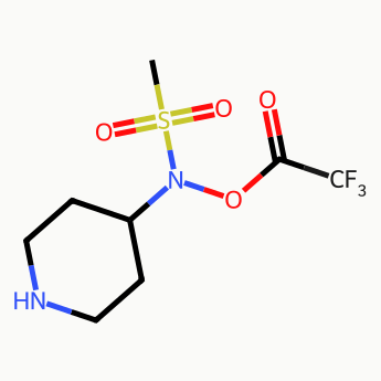 CS(=O)(=O)N(OC(=O)C(F)(F)F)C1CCNCC1